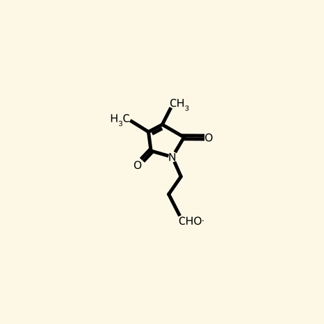 CC1=C(C)C(=O)N(CC[C]=O)C1=O